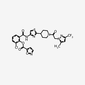 Cc1cc(C(F)(F)F)nn1CC(=O)N1CCC(c2nc(NC(=O)c3cccc(Cl)c3OC(=O)c3ccno3)cs2)CC1